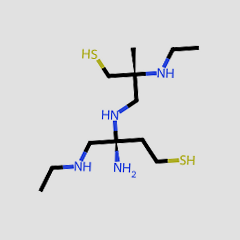 CCNC[C@@](N)(CCS)NC[C@](C)(CS)NCC